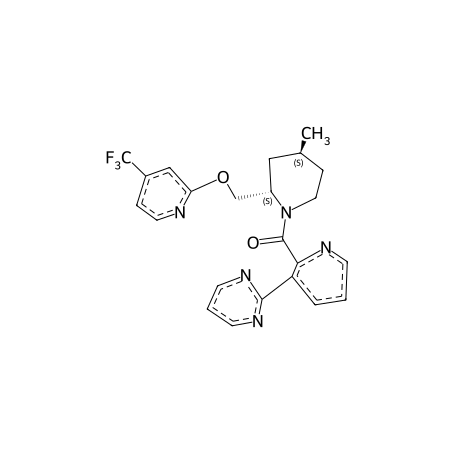 C[C@H]1CCN(C(=O)c2ncccc2-c2ncccn2)[C@H](COc2cc(C(F)(F)F)ccn2)C1